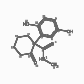 CNC(=S)C1(c2cc(O)ccc2O)CCCCC1=O